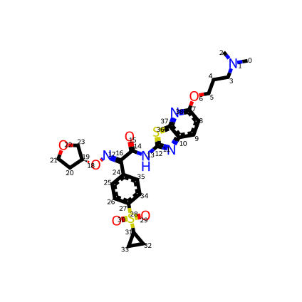 CN(C)CCCOc1ccc2nc(NC(=O)/C(=N/O[C@@H]3CCOC3)c3ccc(S(=O)(=O)C4CC4)cc3)sc2n1